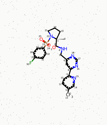 C[C@@]1(C(=O)NCc2cc(-c3ccc(C(F)(F)F)cn3)ncn2)CCCN1S(=O)(=O)c1ccc(F)cc1